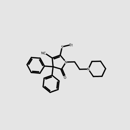 CCSC1=C(C#N)C(c2ccccc2)(c2ccccc2)C(=O)N1CCN1CCCCC1